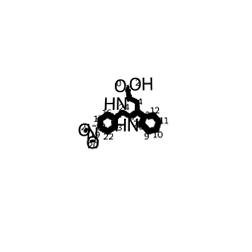 O=C(O)C1Cc2c([nH]c3ccccc23)C(c2ccc([N+](=O)[O-])cc2)N1